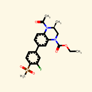 CCOC(=O)N1C[C@H](C)N(C(C)=O)c2ccc(-c3ccc(S(C)(=O)=O)c(F)c3)cc21